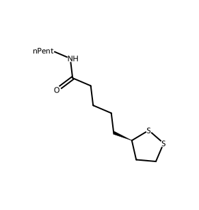 CCCCCNC(=O)CCCC[C@@H]1CCSS1